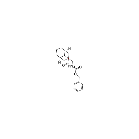 O=C(O)CC1[C@@H]2CCC[C@H]1CC(CNC(=O)OCc1ccccc1)C2